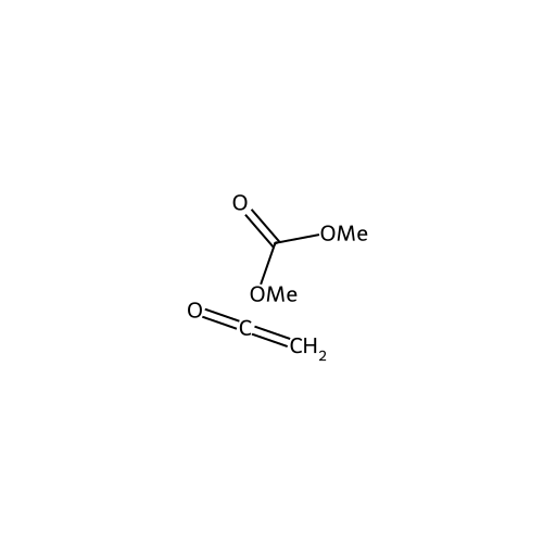 C=C=O.COC(=O)OC